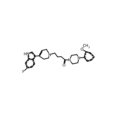 COc1ccccc1N1CCN(C(=O)CCCN2CC=C(c3c[nH]c4cc(F)ccc34)CC2)CC1